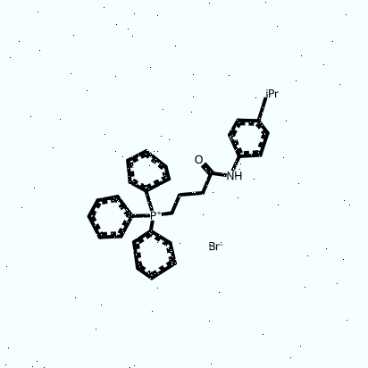 CC(C)c1ccc(NC(=O)CCC[P+](c2ccccc2)(c2ccccc2)c2ccccc2)cc1.[Br-]